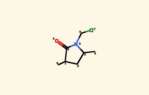 CC1CC(C)N(CCl)C1=O